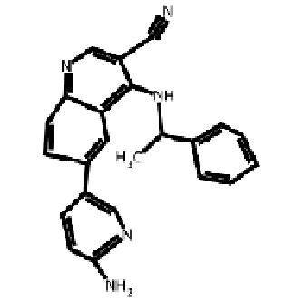 CC(Nc1c(C#N)cnc2ccc(-c3ccc(N)nc3)cc12)c1ccccc1